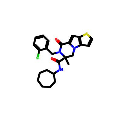 CC1(C(=O)NC2CCCCCC2)Cn2c(cc3sccc32)C(=O)N1Cc1ccccc1Cl